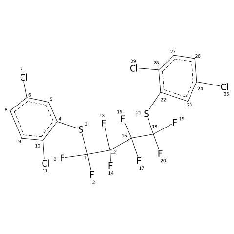 FC(F)(Sc1cc(Cl)ccc1Cl)C(F)(F)C(F)(F)C(F)(F)Sc1cc(Cl)ccc1Cl